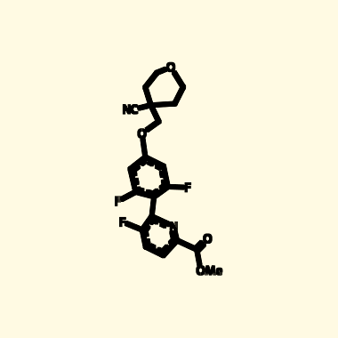 COC(=O)c1ccc(F)c(-c2c(F)cc(OCC3(C#N)CCOCC3)cc2F)n1